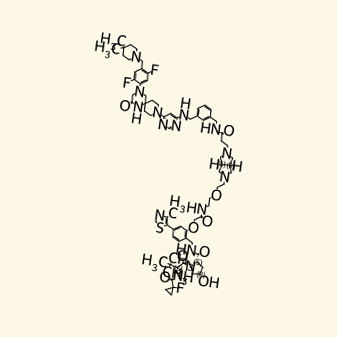 Cc1ncsc1-c1ccc(CNC(=O)[C@@H]2C[C@@H](O)CN2C(=O)[C@@H](NC(=O)C2(F)CC2)C(C)(C)C)c(OCC(=O)NCCOCCN2C[C@@H]3CN(CCC(=O)NCc4cccc(CNc5cc(N6CCC7(CC6)CN(c6cc(F)c(CN8CCC(C)(C)CC8)cc6F)CC(=O)N7)ncn5)c4)C[C@@H]3C2)c1